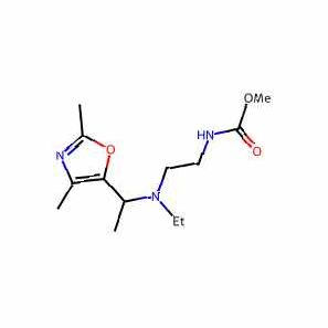 CCN(CCNC(=O)OC)C(C)c1oc(C)nc1C